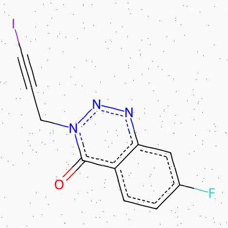 O=c1c2ccc(F)cc2nnn1CC#CI